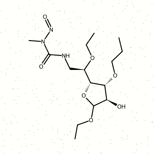 CCCO[C@H]1[C@@H]([C@@H](CNC(=O)N(C)N=O)OCC)OC(OCC)[C@@H]1O